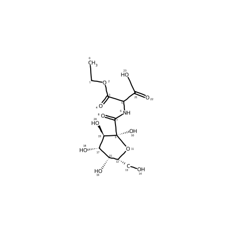 CCOC(=O)C(NC(=O)[C@@]1(O)O[C@H](CO)[C@H](O)[C@H](O)[C@H]1O)C(=O)O